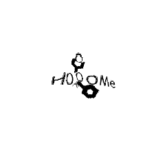 COc1ccccc1[C@H](CO)OCC1CCOCC1